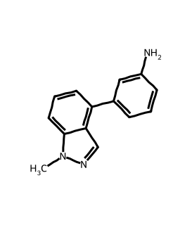 Cn1ncc2c(-c3cccc(N)c3)cccc21